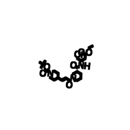 CCOC(=O)CC(CO)NC(=O)[C@@H]1CCCN(C(=O)/C=C/C2CCN(C(=O)OC(C)(C)C)CC2)C1